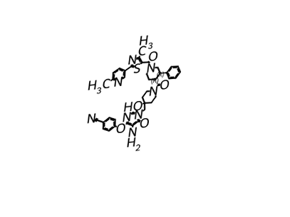 Cc1ccc(-c2nc(C)c(C(=O)N3CC[C@@H](C(=O)N4CCC(O)(Cn5cnc(Oc6ccc(C#N)cc6)c(N)c5=O)CC4)[C@H](c4ccccc4)C3)s2)cn1